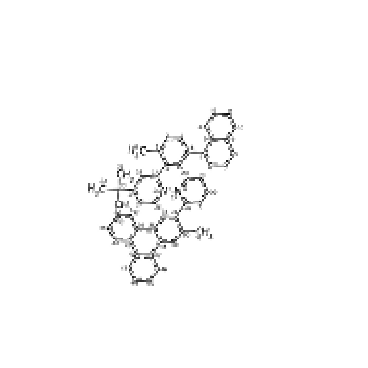 Cc1ccc(-c2cccc3ccccc23)cc1-c1cc(C(C)(C)C)cc[n+]1-[n+]1ccccc1-c1cc2c3ccccc3c3ccccc3c2cc1C